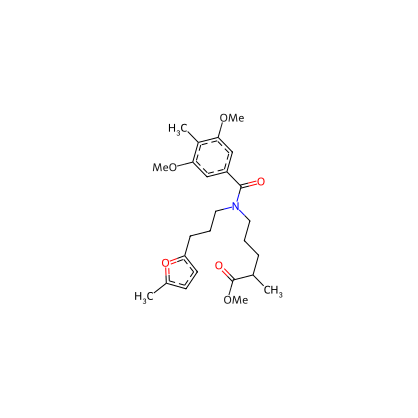 COC(=O)C(C)CCCN(CCCc1ccc(C)o1)C(=O)c1cc(OC)c(C)c(OC)c1